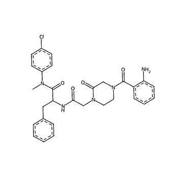 CN(C(=O)C(Cc1ccccc1)NC(=O)CN1CCN(C(=O)c2ccccc2N)CC1=O)c1ccc(Cl)cc1